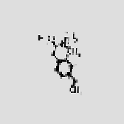 C=Cc1ccc(CC(C)N(C)C)cc1